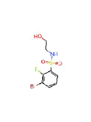 O=S(=O)(NCCO)c1cccc(Br)c1F